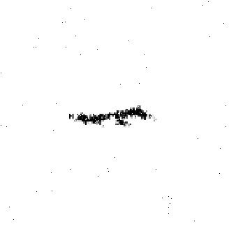 Cc1c(Oc2ccc(S(C)(=O)=O)cc2F)ncnc1OC1CCN(CC(=O)CCCC(C)CC(C(=O)CCC(C)C)N2CCC(Oc3ncnc(Oc4ccc(S(C)(=O)=O)cc4F)c3C)CC2)CC1